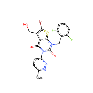 COc1ccc(-n2c(=O)c3c(CO)c(Br)sc3n(Cc3c(F)cccc3F)c2=O)nn1